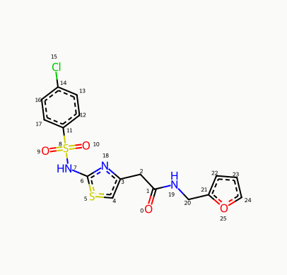 O=C(Cc1csc(NS(=O)(=O)c2ccc(Cl)cc2)n1)NCc1ccco1